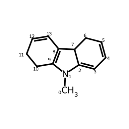 CN1C2=CC=CCC2C2=C1CCC=C2